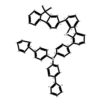 CC1(C)c2ccccc2-c2ccc(-c3cccc4c3sc3c(-c5ccc(N(c6ccc(-c7ccccc7)cc6)c6ccc(-c7ccccc7)cc6)cc5)cccc34)cc21